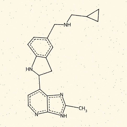 Cc1nc2c(C3Cc4cc(CNCC5CC5)ccc4N3)ccnc2[nH]1